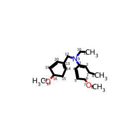 CC/C=C(\C=C/COC)N(CC)CC1=CCC(OC)C=C1